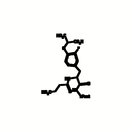 CCCCCNC(=O)C(Cc1ccc(OC(C(=O)O)C(=O)O)c(F)c1)NC(=O)CCC(=O)O